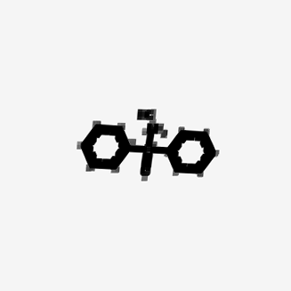 Cl.NP(=O)(c1ccccc1)c1ccccc1